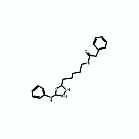 O=C(Cc1ccccc1)NCCCCCC1NNC(Nc2ccccc2)S1